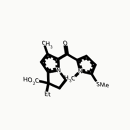 CCC1(C(=O)O)CCn2c1cc(C)c2C(=O)c1ccc(SC)n1C